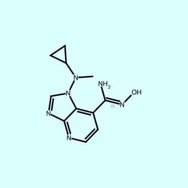 CN(C1CC1)n1cnc2nccc(/C(N)=N/O)c21